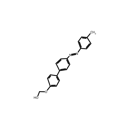 Cc1ccc(N=Nc2ccc(-c3ccc(OCO)cc3)cc2)cc1